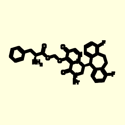 CC(C)N1C[C@H](C2c3cccc(F)c3CCc3c(F)cccc32)n2ncc(=O)c(OCOC(=O)[C@H](N)Cc3ccccc3)c2C1=O